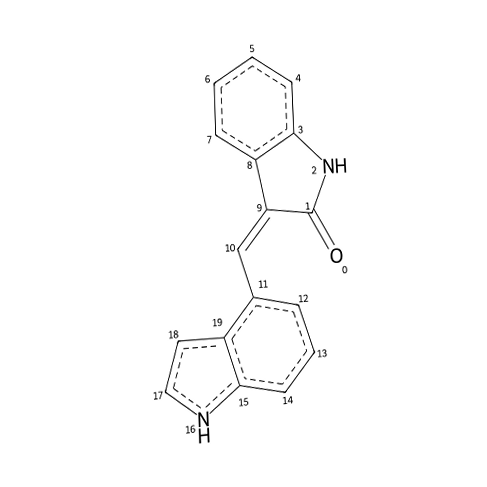 O=C1Nc2ccccc2C1=Cc1cccc2[nH]ccc12